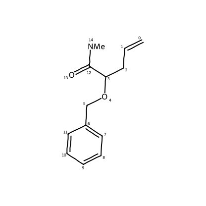 C=CCC(OCc1ccccc1)C(=O)NC